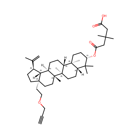 C#CCOCC[C@]12CC[C@@H](C(=C)C)[C@@H]1[C@H]1CC[C@@H]3[C@@]4(C)CC[C@H](OC(=O)CC(C)(C)CC(=O)O)C(C)(C)[C@@H]4CC[C@@]3(C)[C@]1(C)CC2